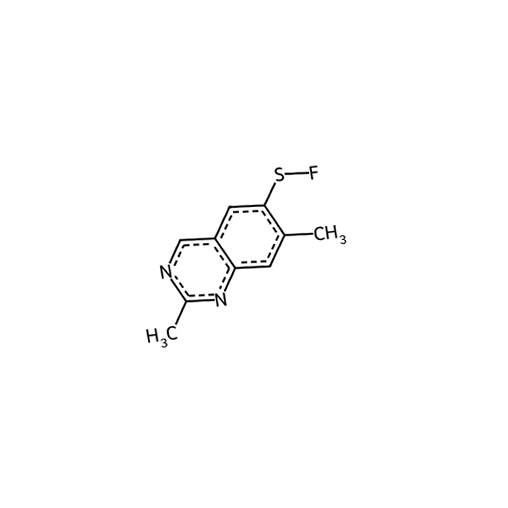 Cc1ncc2cc(SF)c(C)cc2n1